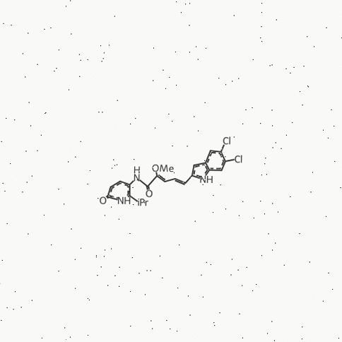 CO/C(=C\C=C\c1cc2cc(Cl)c(Cl)cc2[nH]1)C(=O)Nc1ccc(=O)[nH]c1C(C)C